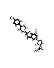 CC(=O)N(C)C1CCN(c2cc(F)c(NC(=O)N3CCC(c4ccc(Cl)cc4)CC3)c(F)c2)C1